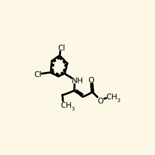 CC/C(=C/C(=O)OC)Nc1cc(Cl)cc(Cl)c1